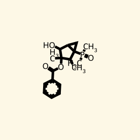 CC1C(C)(OC(=O)c2ccccc2)C(O)C2CC21P(C)(C)=O